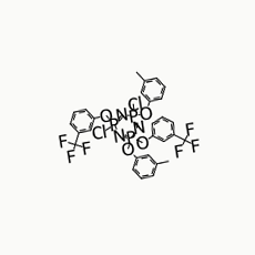 Cc1cccc(OP2(Cl)=NP(Oc3cccc(C)c3)(Oc3cccc(C(F)(F)F)c3)=NP(Cl)(Oc3cccc(C(F)(F)F)c3)=N2)c1